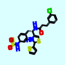 O=C(CCc1cccc(Cl)c1)N[C@@H](CC1=CCC(N[SH](=O)=O)C=C1)C1=CSC(c2cccs2)N1